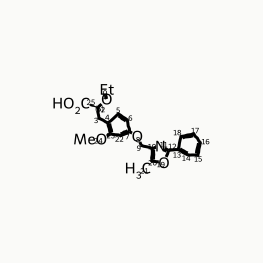 CCO[C@@H](Cc1ccc(OCc2nc(-c3ccccc3)oc2C)cc1OC)C(=O)O